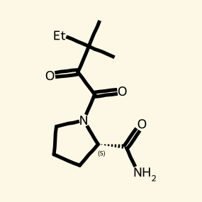 CCC(C)(C)C(=O)C(=O)N1CCC[C@H]1C(N)=O